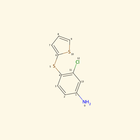 Nc1ccc(Sc2cccs2)c(Cl)c1